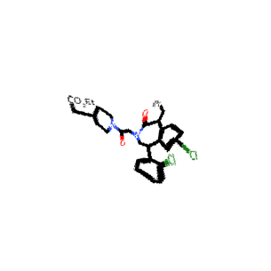 CCOC(=O)CC1CCN(C(=O)CN2CC(c3ccccc3Cl)c3cc(Cl)ccc3C(CC(C)C)C2=O)CC1